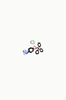 C[N+](C)(C)Cc1ccc(OCCC(c2ccccc2)(c2ccccc2)c2ccccc2)cc1.[Cl-]